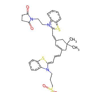 CC1(C)CC(/C=C/C=C2\Sc3ccccc3N2CCCS(=O)(=O)O)=CC(=C/c2sc3ccccc3[n+]2CCN2C(=O)CCC2=O)/C1